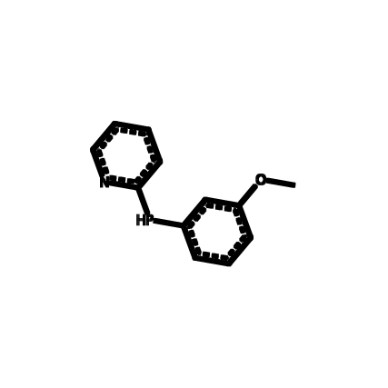 COc1cccc(Pc2ccccn2)c1